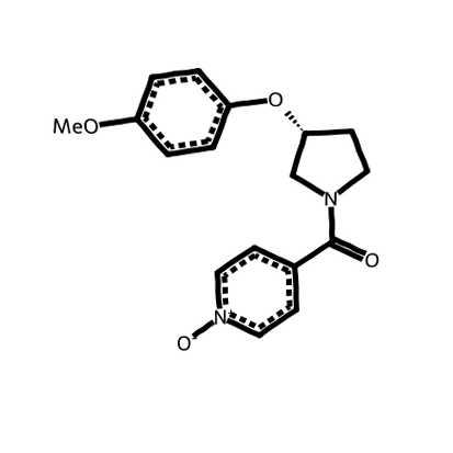 COc1ccc(O[C@@H]2CCN(C(=O)c3cc[n+]([O-])cc3)C2)cc1